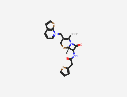 O=C(Cc1cccs1)NC1C(=O)N2C(C(=O)[O-])=C(C[n+]3cccc4ccsc43)CS[C@@H]12